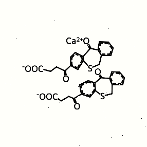 O=C([O-])CCC(=O)c1ccc2c(c1)SCc1ccccc1C2=O.O=C([O-])CCC(=O)c1ccc2c(c1)SCc1ccccc1C2=O.[Ca+2]